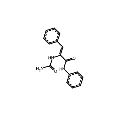 NC(=O)NC(=Cc1ccccc1)C(=O)Nc1ccccc1